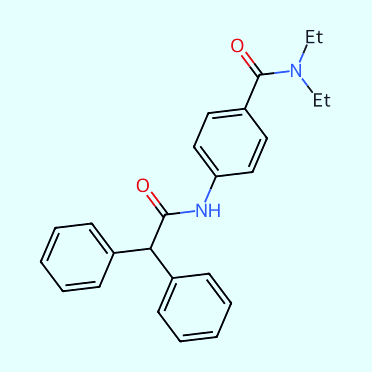 CCN(CC)C(=O)c1ccc(NC(=O)C(c2ccccc2)c2ccccc2)cc1